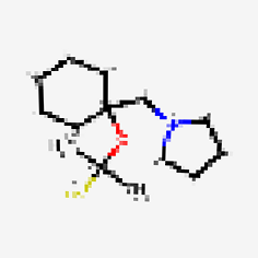 CC(C)(S)OC1(CN2CCCC2)CCCCC1